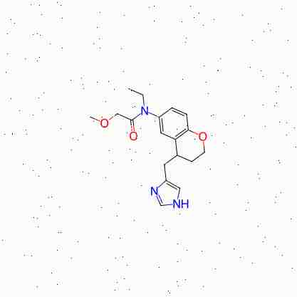 CCN(C(=O)COC)c1ccc2c(c1)C(Cc1c[nH]cn1)CCO2